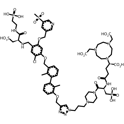 Cc1c(COc2cc(OCc3cncc(S(C)(=O)=O)c3)c(CN[C@@H](CS(=O)(=O)O)C(=O)NCCP(=O)(O)O)cc2Cl)cccc1-c1cccc(OCc2cn(CCCN3CCN(C(=O)[C@H](CP(=O)(O)O)NC(=O)CC[C@H](C(=O)O)N4CCN(CC(=O)O)CCN(CC(=O)O)CC4)CC3)nn2)c1C